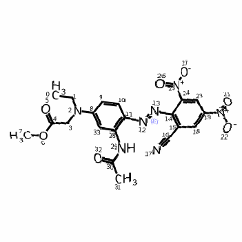 CCN(CC(=O)OC)c1ccc(/N=N/c2c(C#N)cc([N+](=O)[O-])cc2[N+](=O)[O-])c(NC(C)=O)c1